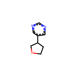 c1ncc(C2CCOC2)cn1